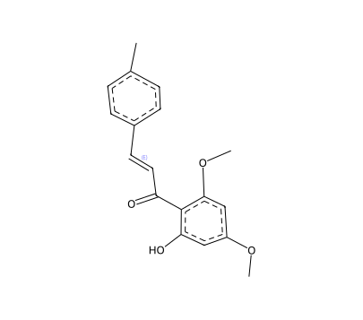 COc1cc(O)c(C(=O)/C=C/c2ccc(C)cc2)c(OC)c1